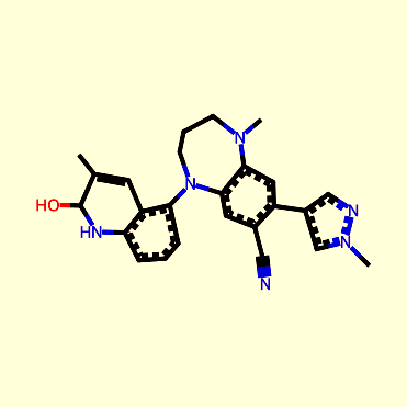 CC1=Cc2c(cccc2N2CCCN(C)c3cc(-c4cnn(C)c4)c(C#N)cc32)NC1O